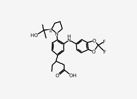 CCC(CC(=O)O)c1ccc(N2CCC[C@@H]2C(C)(C)O)c(Nc2ccc3c(c2)OC(F)(F)O3)c1